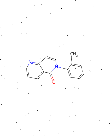 Cc1ccccc1-n1ccc2ncccc2c1=O